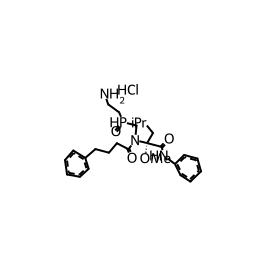 CO[C@](CC(C)C)(C(=O)Nc1ccccc1)N(C[PH](=O)CCN)C(=O)CCCc1ccccc1.Cl